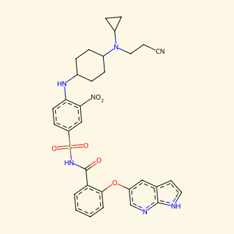 N#CCCN(C1CCC(Nc2ccc(S(=O)(=O)NC(=O)c3ccccc3Oc3cnc4[nH]ccc4c3)cc2[N+](=O)[O-])CC1)C1CC1